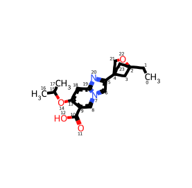 CCC12CC(c3cn4cc(C(=O)O)c(OC(C)C)cc4n3)(CO1)C2